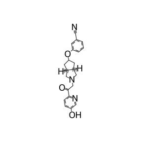 N#Cc1cccc(OC2C[C@@H]3CN(CC(=O)c4ccc(O)cn4)C[C@@H]3C2)c1